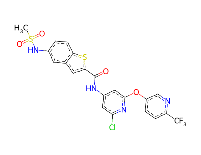 CS(=O)(=O)Nc1ccc2sc(C(=O)Nc3cc(Cl)nc(Oc4ccc(C(F)(F)F)nc4)c3)cc2c1